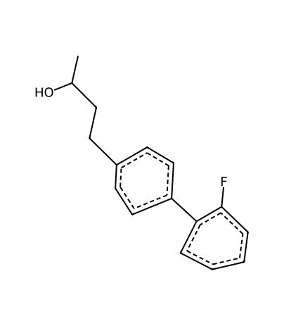 CC(O)CCc1ccc(-c2ccccc2F)cc1